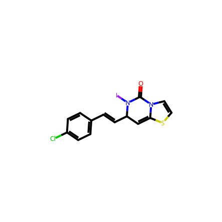 O=C1N2C=CSC2=CC(/C=C/c2ccc(Cl)cc2)N1I